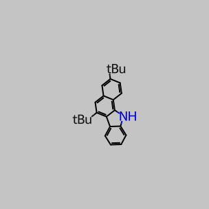 CC(C)(C)c1ccc2c(c1)cc(C(C)(C)C)c1c3ccccc3[nH]c21